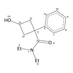 CCN(CC)C(=O)C1(c2ccccc2)CC(O)C1